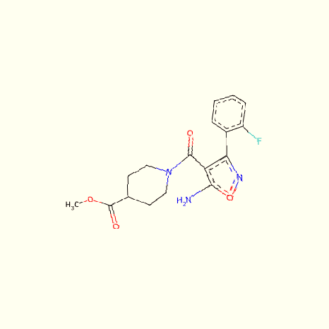 COC(=O)C1CCN(C(=O)c2c(-c3ccccc3F)noc2N)CC1